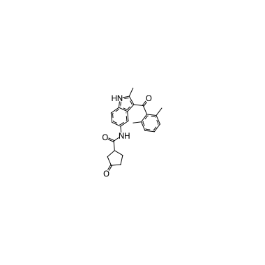 Cc1cccc(C)c1C(=O)c1c(C)[nH]c2ccc(NC(=O)C3CCC(=O)C3)cc12